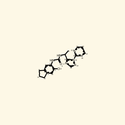 CC(NC(=O)Nc1cc2c(cc1Cl)CCC2)c1ncnn1-c1ncccn1